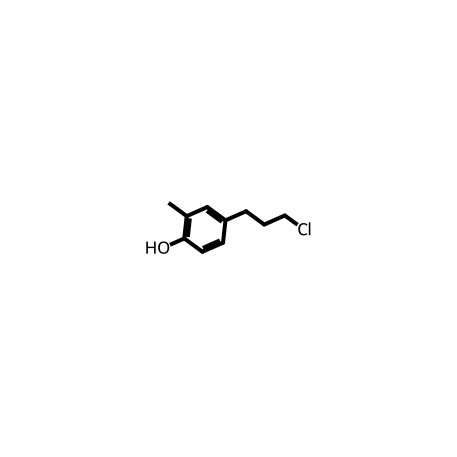 Cc1cc(CCCCl)ccc1O